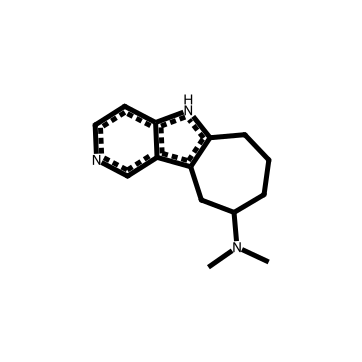 CN(C)C1CCCc2[nH]c3ccncc3c2C1